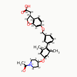 CC(=O)N1CCC(Oc2cc(C)c(-c3cccc(COc4ccc5c(c4)OC[C@H]5CC(=O)O)c3)c(C)c2)CC1